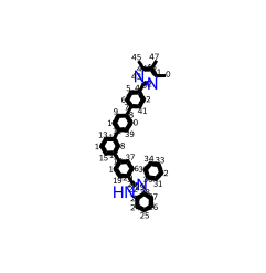 Cc1nc(-c2ccc(-c3ccc(-c4cccc(-c5ccc(C6Nc7ccccc7N6c6ccccc6)cc5)c4)cc3)cc2)nc(C)c1C